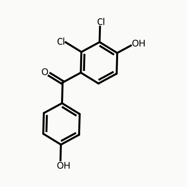 O=C(c1ccc(O)cc1)c1ccc(O)c(Cl)c1Cl